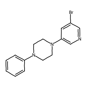 Brc1cncc(N2CCN(c3ccccc3)CC2)c1